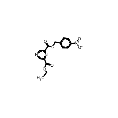 CCOC(=O)c1cncc(C(=O)OCc2ccc([N+](=O)[O-])cc2)n1